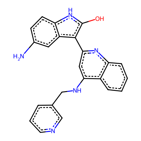 Nc1ccc2[nH]c(O)c(-c3cc(NCc4cccnc4)c4ccccc4n3)c2c1